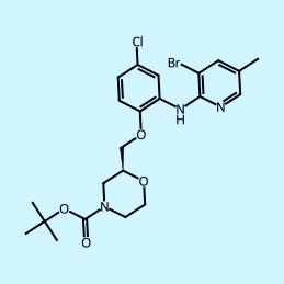 Cc1cnc(Nc2cc(Cl)ccc2OC[C@@H]2CN(C(=O)OC(C)(C)C)CCO2)c(Br)c1